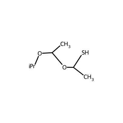 CC(C)OC(C)OC(C)S